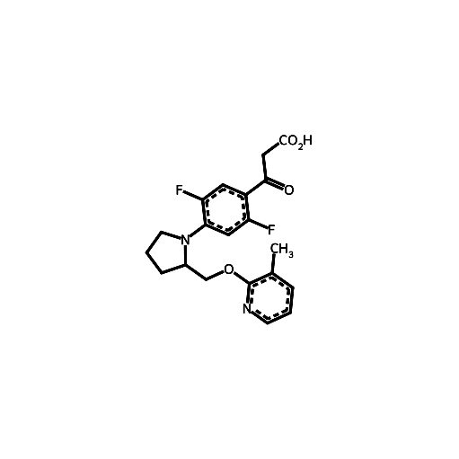 Cc1cccnc1OCC1CCCN1c1cc(F)c(C(=O)CC(=O)O)cc1F